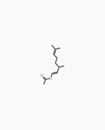 CC(=O)O/C=C/C(C)CCC=C(C)C